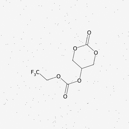 O=C1OCC(OC(=O)OCC(F)(F)F)CO1